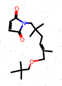 C/C(=C\CC(C)(C)CN1C(=O)C=CC1=O)COCC(C)(C)C